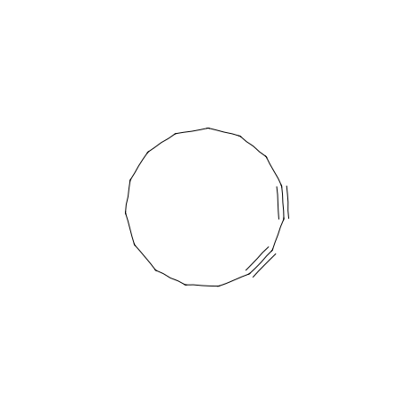 C1#CCCCCCCCCCCCC#C1